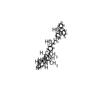 C[C@H](NC(=O)C(C)(C)c1ccc(C(O)CCCN2CCC(C(O)(c3ccccc3)c3ccccc3)CC2)cc1)C(=O)N[C@@H](Cc1cnc[nH]1)C(=O)O